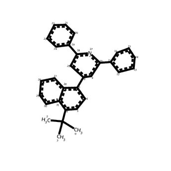 CC(C)(C)c1ccc(-c2cc(-c3ccccc3)nc(-c3ccccc3)c2)c2ccccc12